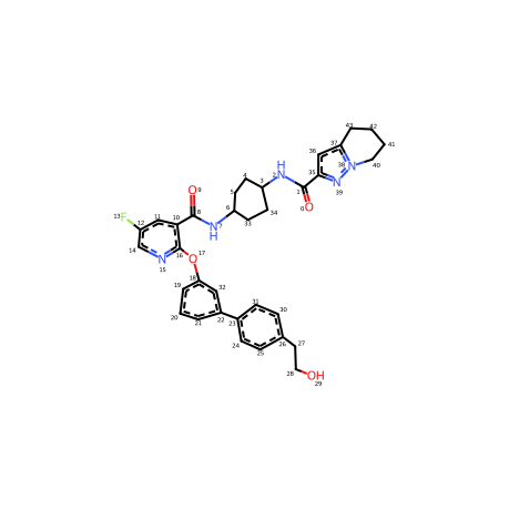 O=C(NC1CCC(NC(=O)c2cc(F)cnc2Oc2cccc(-c3ccc(CCO)cc3)c2)CC1)c1cc2n(n1)CCCC2